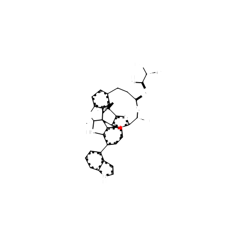 COC(=O)c1nc2oc1C13c4cc(ccc4O[C@@H]1Nc1c(-c4cccc5[nH]ccc45)cccc13)C[C@H](NC(=O)[C@@H](O)C(C)C)C(=O)N[C@H]2C(C)C